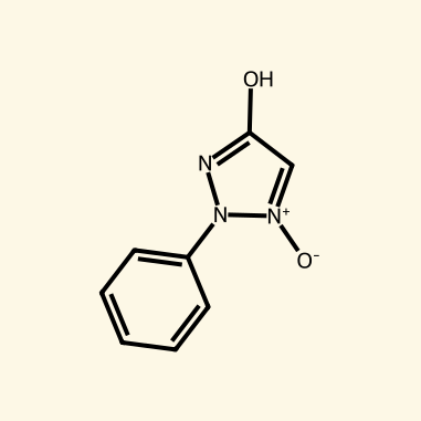 [O-][n+]1cc(O)nn1-c1ccccc1